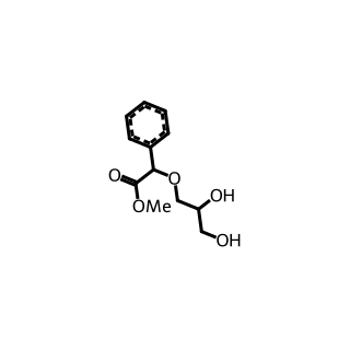 COC(=O)C(OCC(O)CO)c1ccccc1